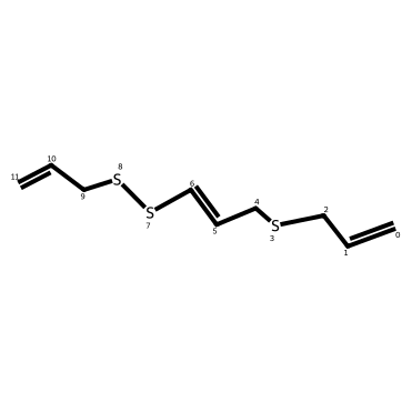 C=CCSCC=CSSCC=C